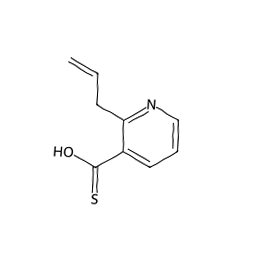 C=CCc1ncccc1C(O)=S